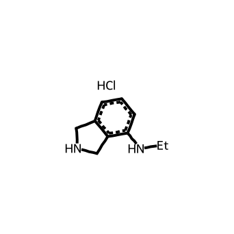 CCNc1cccc2c1CNC2.Cl